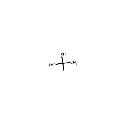 CC(O)(S)I